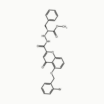 COC(=O)[C@H](Cc1ccccc1)NNC(=O)c1cc(=O)c2c(OCc3ccccc3Br)cccc2o1